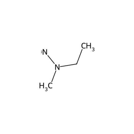 CCN(C)[N]